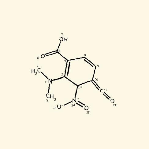 CN(C)C1=C(C(=O)O)C=CC(=C=O)C1[N+](=O)[O-]